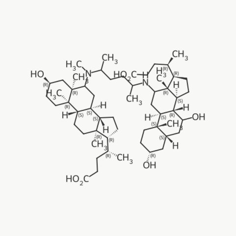 CC(CCC(C)N(C)C1C[C@H]2[C@@H]3CC[C@H]([C@H](C)CCC(=O)O)[C@@]3(C)CC[C@@H]2[C@@]2(C)CC[C@@H](O)C[C@@]12C)NC1C[C@H]2[C@@H](C(O)C[C@@H]3C[C@H](O)CC[C@@]32C)[C@@H]2CC[C@H]([C@H](C)CCC(=O)O)[C@@]12C